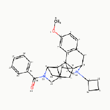 COc1ccc2c(c1)C13CCN(C4CCC4)C(C2)C12CC14CN(C(=O)c5ccccc5)C(CC12)C43